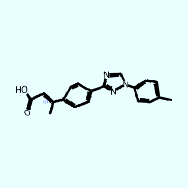 C/C(=C\C(=O)O)c1ccc(-c2ncn(-c3ccc(C)cc3)n2)cc1